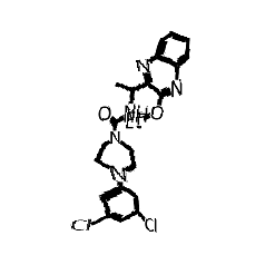 CCOc1nc2ccccc2nc1C(C)NC(=O)N1CCN(c2cc(Cl)cc(Cl)c2)CC1